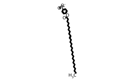 CCCCCCCCCCCCCCCCCC/C=C/CCCCCCCCC(=O)Oc1ccc([N+](=O)[O-])cc1